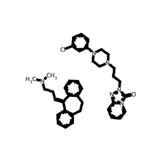 CN(C)CCC=C1c2ccccc2CCc2ccccc21.O=c1n(CCCN2CCN(c3cccc(Cl)c3)CC2)nc2ccccn12